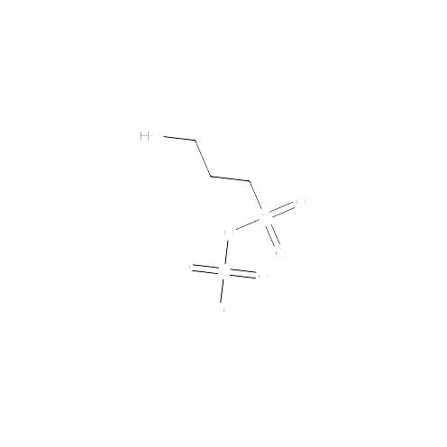 O=S(=O)(O)OS(=O)(=O)CCCO